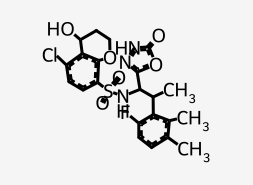 Cc1ccc(F)c(C(C)C(NS(=O)(=O)c2ccc(Cl)c3c2OCCC3O)c2n[nH]c(=O)o2)c1C